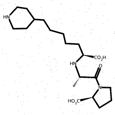 C[C@H](N[C@@H](CCCCCC1CCNCC1)C(=O)O)C(=O)N1CCC[C@H]1C(=O)O